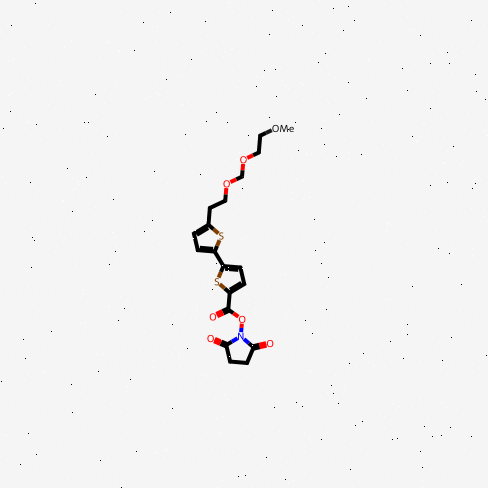 COCCOCOCCc1ccc(-c2ccc(C(=O)ON3C(=O)CCC3=O)s2)s1